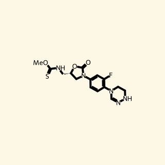 COC(=S)NC[C@H]1CN(c2ccc(N3C=NNCC3)c(F)c2)C(=O)O1